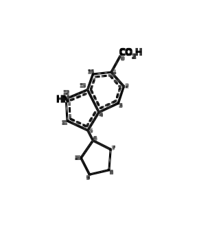 O=C(O)c1ccc2c(C3CCCC3)c[nH]c2c1